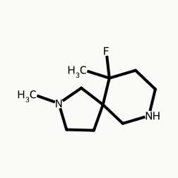 CN1CCC2(CNCCC2(C)F)C1